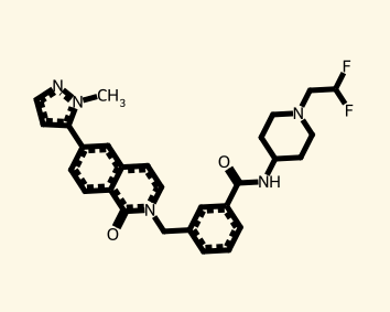 Cn1nccc1-c1ccc2c(=O)n(Cc3cccc(C(=O)NC4CCN(CC(F)F)CC4)c3)ccc2c1